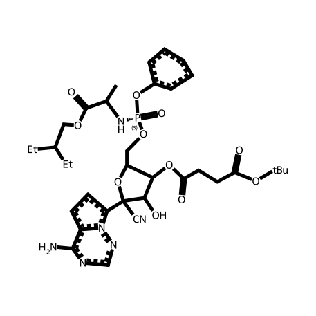 CCC(CC)COC(=O)C(C)N[P@](=O)(OCC1OC(C#N)(c2ccc3c(N)ncnn23)C(O)C1OC(=O)CCC(=O)OC(C)(C)C)Oc1ccccc1